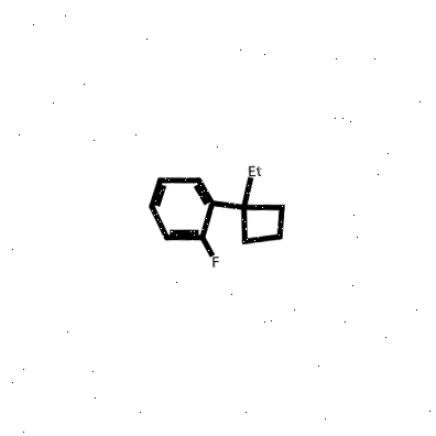 CCC1(c2ccccc2F)CCC1